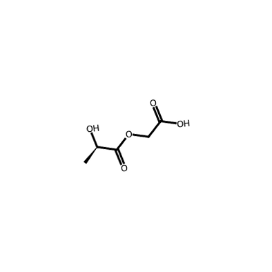 C[C@@H](O)C(=O)OCC(=O)O